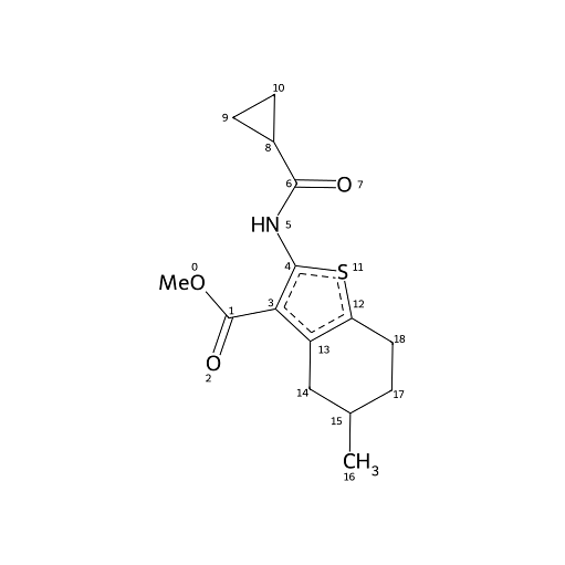 COC(=O)c1c(NC(=O)C2CC2)sc2c1CC(C)CC2